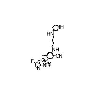 N#Cc1cc(S(=O)(=O)Nc2ncc(F)s2)c(F)cc1NCCCCN[C@@H]1CCNC1